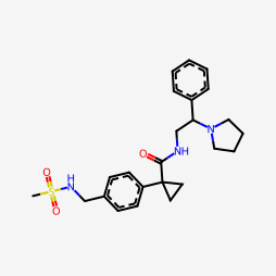 CS(=O)(=O)NCc1ccc(C2(C(=O)NCC(c3ccccc3)N3CCCC3)CC2)cc1